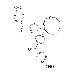 O=Cc1ccc(C(=O)c2ccc(C3(c4ccc(C(=O)c5ccc(C=O)cc5)cc4)CCCCCCCCC3)cc2)cc1